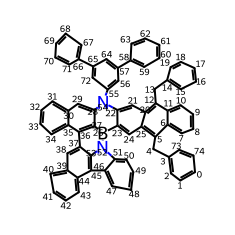 c1ccc(Cc2c3ccccc3c(Cc3ccccc3)c3cc4c(cc23)B2c3c(cc5ccccc5c3-c3cc5ccccc5c5c6ccccc6n2c35)N4c2cc(-c3ccccc3)cc(-c3ccccc3)c2)cc1